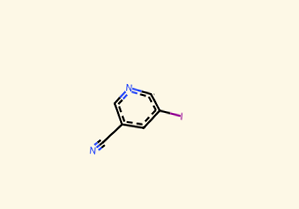 N#Cc1cn[c]c(I)c1